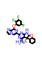 CC1(c2ccccc2)C(=O)Nc2nc(-c3cn4ccnc4c(Oc4cc(F)cc(F)c4F)n3)nc(N)c21